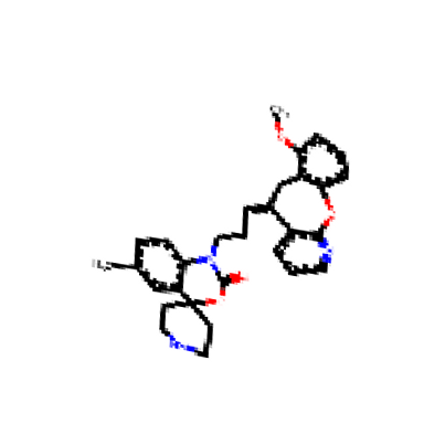 COc1cccc2c1C/C(=C/CCN1C(=O)OC3(CCNCC3)c3cc(C)ccc31)c1cccnc1O2